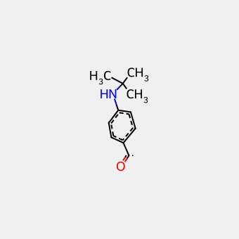 CC(C)(C)Nc1ccc([C]=O)cc1